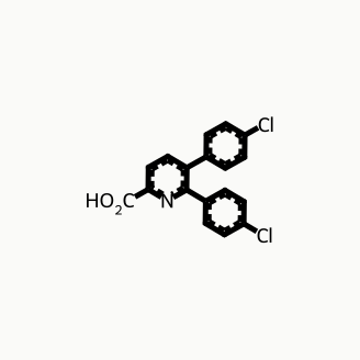 O=C(O)c1ccc(-c2ccc(Cl)cc2)c(-c2ccc(Cl)cc2)n1